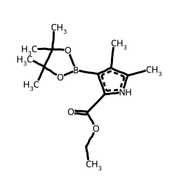 CCOC(=O)c1[nH]c(C)c(C)c1B1OC(C)(C)C(C)(C)O1